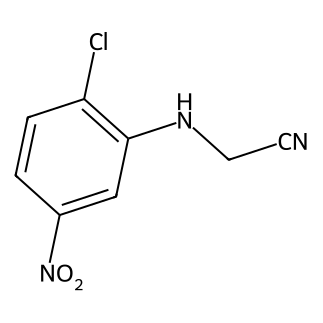 N#CCNc1cc([N+](=O)[O-])ccc1Cl